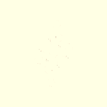 N#Cc1c(C#N)c(-n2c3ccccc3c3cc4c(cc32)sc2ccccc24)c(C#N)c(C#N)c1-n1c2ccccc2c2cc3c(cc21)sc1ccccc13